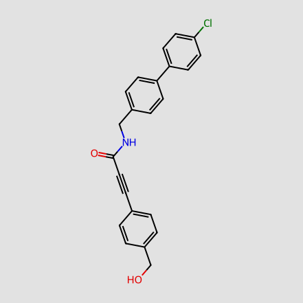 O=C(C#Cc1ccc(CO)cc1)NCc1ccc(-c2ccc(Cl)cc2)cc1